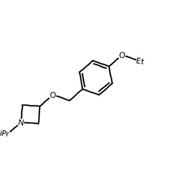 CCOc1ccc(COC2CN(C(C)C)C2)cc1